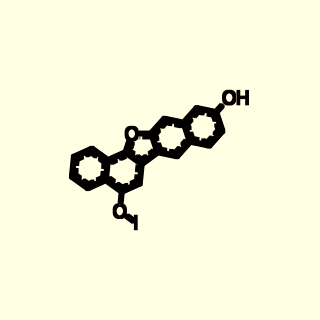 Oc1ccc2cc3c(cc2c1)oc1c2ccccc2c(OI)cc31